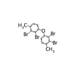 Cc1ccc(Oc2ccc(C)c(Br)c2Br)c(Br)c1Br